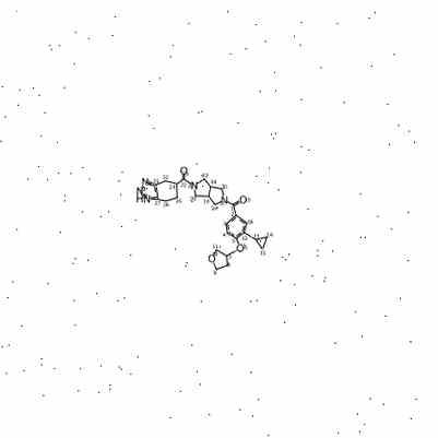 O=C(c1ccc(OC2CCOC2)c(C2CC2)c1)N1CC2CN(C(=O)C3CCc4[nH]nnc4C3)CC2C1